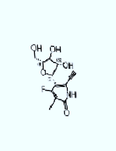 C#Cc1[nH]c(=O)c(C)c(F)c1[C@@H]1O[C@H](CO)C(O)[C@@H]1O